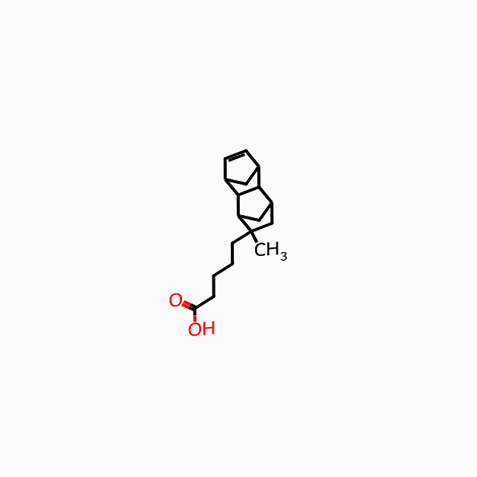 CC1(CCCCC(=O)O)CC2CC1C1C3C=CC(C3)C21